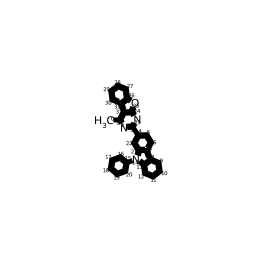 Cc1nc(-c2ccc3c4ccccc4n(-c4ccccc4)c3c2)nc2oc3ccccc3c12